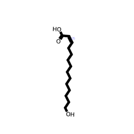 O=C(O)/C=C\CCCCCCCCCCCO